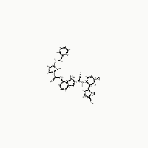 O=C(Nc1cccc2cc(C(=O)Nc3ccc(Cl)cc3-c3noc(=O)[nH]3)[nH]c12)c1csc(SCc2ccccc2)n1